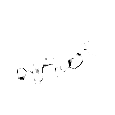 CCO[C@@H](C(=O)NCc1ccc(C(=N)NO)cc1)n1cnc(-c2ccccc2)n1